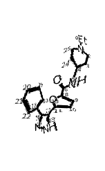 CCN1CCC(NC(=O)c2ccc(-c3c[nH]nc3-c3ccccc3)o2)CC1